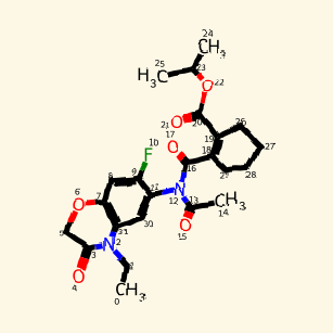 CCN1C(=O)COc2cc(F)c(N(C(C)=O)C(=O)C3=C(C(=O)OC(C)C)CCCC3)cc21